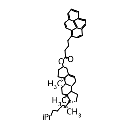 CC(C)CCC[C@@H](C)[C@H]1CCC2C3CC=C4CC(OC(=O)CCCc5ccc6ccc7cccc8ccc5c6c78)CC[C@]4(C)C3CC[C@@]21C